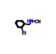 CCc1ccccc1CNC#N